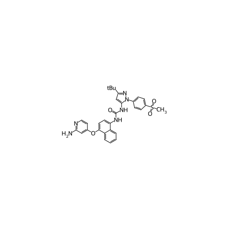 CC(C)(C)c1cc(NC(=O)Nc2ccc(Oc3ccnc(N)c3)c3ccccc23)n(-c2ccc(S(C)(=O)=O)cc2)n1